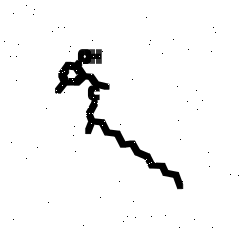 CCCCCCCCCCCCC(C)CCCC(C)Cc1cc(C)ccc1O